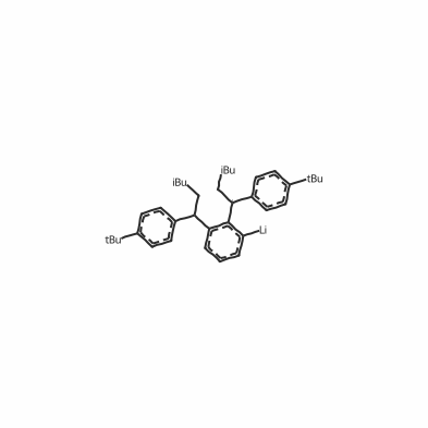 [Li][c]1cccc(C(CC(C)CC)c2ccc(C(C)(C)C)cc2)c1[C](CC(C)CC)c1ccc(C(C)(C)C)cc1